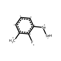 Cc1cccc([Se][SeH])c1F